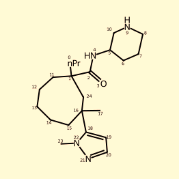 CCCC1(C(=O)NC2CCCNC2)CCCCCC(C)(c2ccnn2C)C1